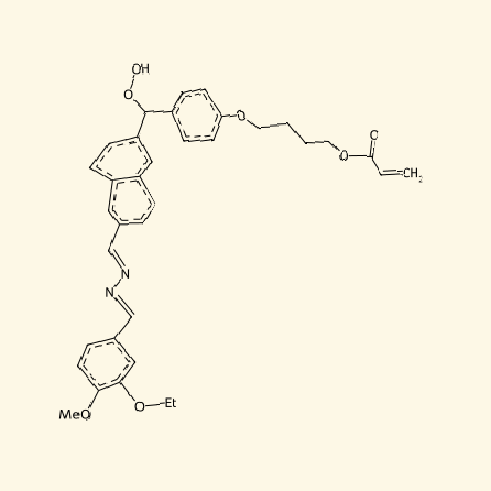 C=CC(=O)OCCCCOc1ccc(C(OO)c2ccc3cc(/C=N/N=C/c4ccc(OC)c(OCC)c4)ccc3c2)cc1